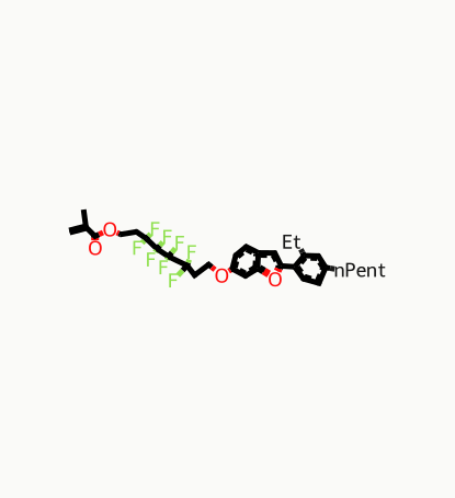 C=C(C)C(=O)OCCC(F)(F)C(F)(F)C(F)(F)C(F)(F)CCOc1ccc2cc(-c3ccc(CCCCC)cc3CC)oc2c1